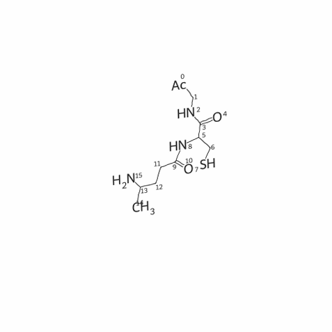 CC(=O)CNC(=O)C(CS)NC(=O)CCC(C)N